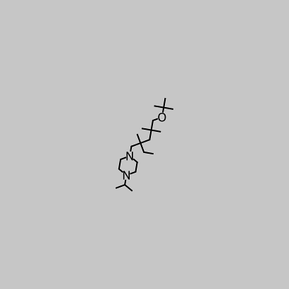 CCC(C)(CN1CCN(C(C)C)CC1)CC(C)(C)COC(C)(C)C